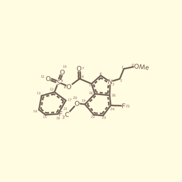 COCCn1cc(C(=O)OS(=O)(=O)c2ccccc2)c2c(OC(F)(F)F)ccc(F)c21